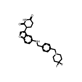 O=C1CCC(c2coc3ccc(NCc4ccc(CN5CCC(F)(F)CC5)cc4)cc23)C(=O)N1